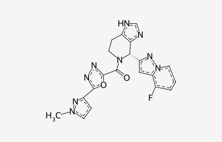 Cn1ccc(-c2nnc(C(=O)N3CCc4[nH]cnc4[C@@H]3c3cc4c(F)cccn4n3)o2)n1